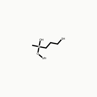 CCCO[Si](C)(O)CCCS